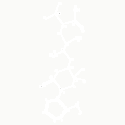 COc1ccccc1N1CC(C)(C)N(CC(N)C(O)CC(C(=O)O)C(C)C)CC1=O